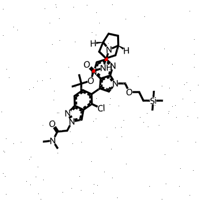 CN(C)C(=O)Cn1cc2c(Cl)c(-c3cn(COCC[Si](C)(C)C)c4nc(N5[C@@H]6CC[C@H]5CC(NC(=O)OC(C)(C)C)C6)cnc34)ccc2n1